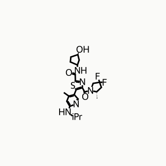 Cc1cc(NC(C)C)ncc1-c1sc(C(=O)NC2CC[C@H](O)C2)nc1C(=O)N1CC(F)(F)C[C@@H]1C